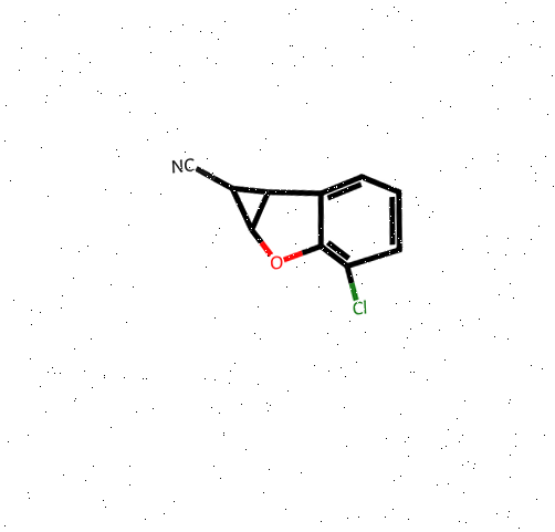 N#CC1C2Oc3c(Cl)cccc3C12